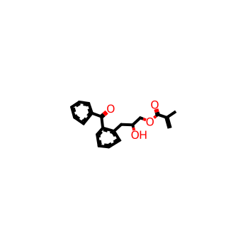 C=C(C)C(=O)OCC(O)Cc1ccccc1C(=O)c1ccccc1